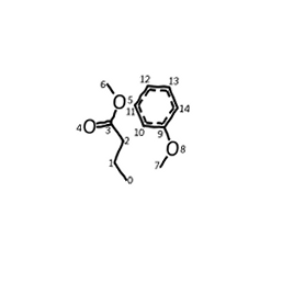 CCCC(=O)OC.COc1ccccc1